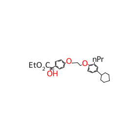 CCCc1cc(C2CCCCC2)ccc1OCCCOc1ccc([C@@H](O)C(=O)OCC)cc1